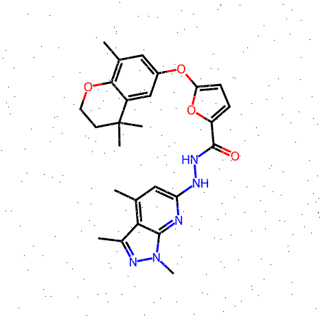 Cc1cc(Oc2ccc(C(=O)NNc3cc(C)c4c(C)nn(C)c4n3)o2)cc2c1OCCC2(C)C